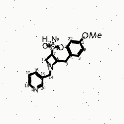 COc1ccc(CC2C(S(N)(=O)=O)CN2Cc2cccnc2)cc1